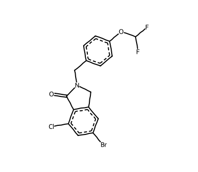 O=C1c2c(Cl)cc(Br)cc2CN1Cc1ccc(OC(F)F)cc1